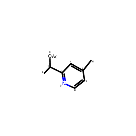 CC(=O)OC(C)c1cc(C)ccn1